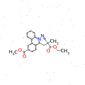 CCOC(=O)C(C)(C#N)Cc1nc2ccccc2c2cc(C(=O)OC)ccc12